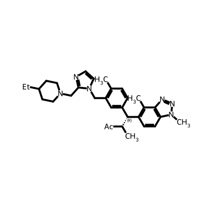 CCC1CCN(Cc2nccn2Cc2cc([C@H](c3ccc4c(nnn4C)c3C)C(C)C(C)=O)ccc2C)CC1